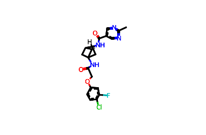 Cc1ncc(C(=O)N[C@@H]2CC3(NC(=O)COc4ccc(Cl)c(F)c4)CC2C3)cn1